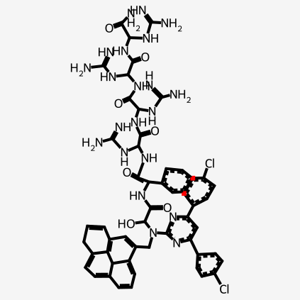 N=C(N)NC(NC(=O)C(NC(=N)N)NC(=O)C(NC(=N)N)NC(=O)C(NC(=N)N)NC(=O)C(NC(=O)C(O)N(CC1=CC2=C3C(=CC=C4C=CC=C1C43)CC=C2)c1nc(-c2ccc(Cl)cc2)cc(-c2ccc(Cl)cc2)n1)c1ccccc1)C(N)=O